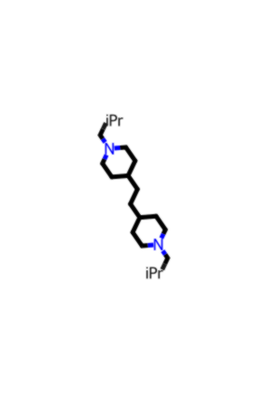 CC(C)CN1CCC(CCC2CCN(CC(C)C)CC2)CC1